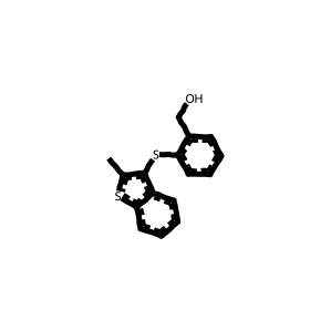 Cc1sc2ccccc2c1Sc1ccccc1CO